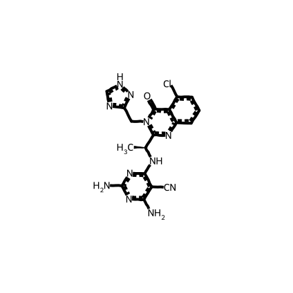 C[C@H](Nc1nc(N)nc(N)c1C#N)c1nc2cccc(Cl)c2c(=O)n1Cc1nc[nH]n1